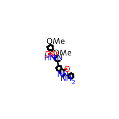 COc1ccc(S(=O)(=O)Nc2cc(-c3ccc4nc(N)n(-c5ccccc5)c(=O)c4c3)cnc2OC)cc1